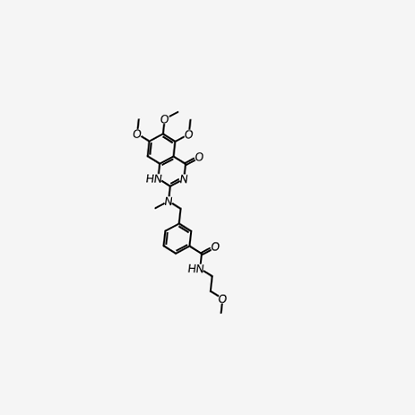 COCCNC(=O)c1cccc(CN(C)c2nc(=O)c3c(OC)c(OC)c(OC)cc3[nH]2)c1